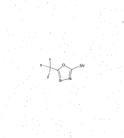 FC(F)(F)c1nnc(S)o1